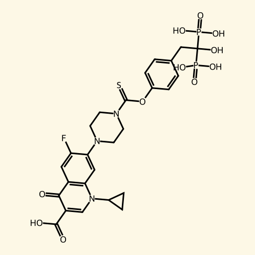 O=C(O)c1cn(C2CC2)c2cc(N3CCN(C(=S)Oc4ccc(CC(O)(P(=O)(O)O)P(=O)(O)O)cc4)CC3)c(F)cc2c1=O